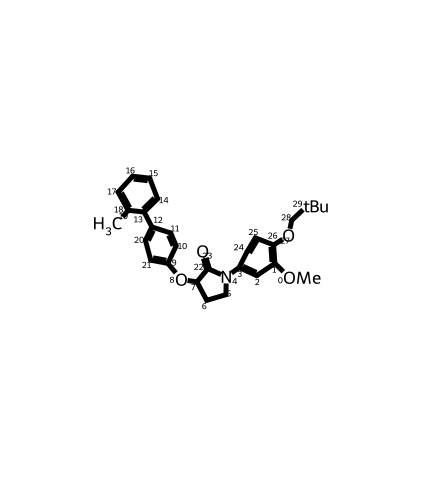 COc1cc(N2CCC(Oc3ccc(-c4ccccc4C)cc3)C2=O)ccc1OCC(C)(C)C